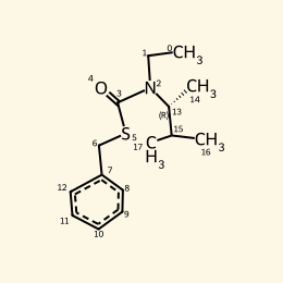 CCN(C(=O)SCc1ccccc1)[C@H](C)C(C)C